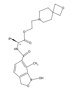 Cc1c(C(=O)N[C@H](C(=O)OCCN2CCC3(CC2)COC3)C(C)C)ccc2c1B(O)OC2